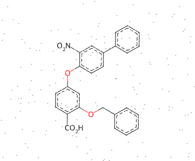 O=C(O)c1ccc(Oc2ccc(-c3ccccc3)cc2[N+](=O)[O-])cc1OCc1ccccc1